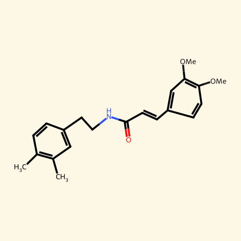 COc1ccc(C=CC(=O)NCCc2ccc(C)c(C)c2)cc1OC